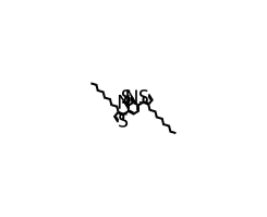 CCCCCCCCc1ccsc1-c1ccc(-c2sccc2CCCCCCCC)c2nsnc12